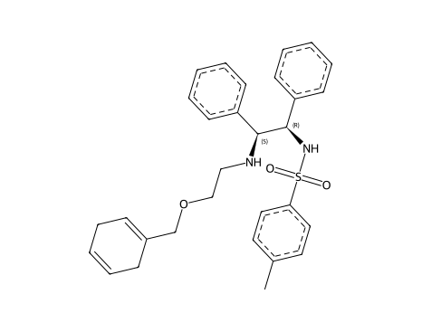 Cc1ccc(S(=O)(=O)N[C@H](c2ccccc2)[C@@H](NCCOCC2=CCC=CC2)c2ccccc2)cc1